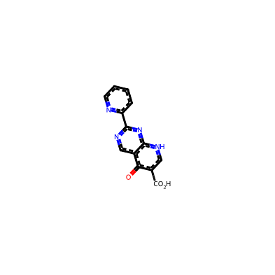 O=C(O)c1c[nH]c2nc(-c3ccccn3)ncc2c1=O